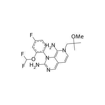 COC(C)(C)CN1C=CC2=CN=C(N)N(c3ccc(F)cc3OC(F)F)C2=C1N